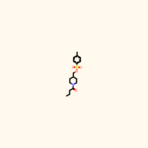 CCCC(=O)N1CCC(COS(=O)(=O)c2ccc(C)cc2)CC1